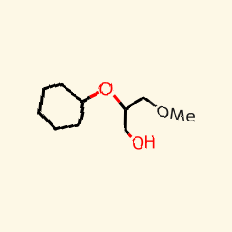 COCC(CO)OC1CCCCC1